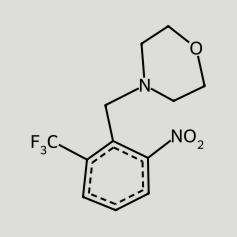 O=[N+]([O-])c1cccc(C(F)(F)F)c1CN1CCOCC1